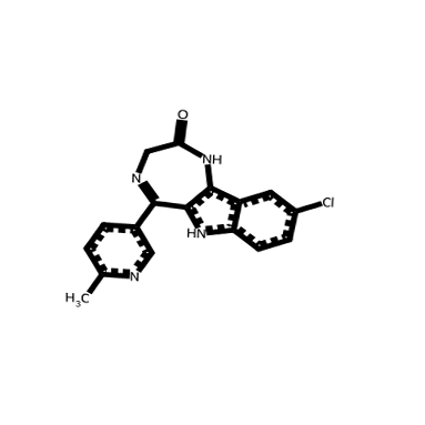 Cc1ccc(C2=NCC(=O)Nc3c2[nH]c2ccc(Cl)cc32)cn1